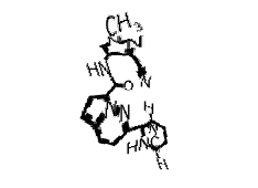 Cn1cc(NC(=O)c2ccc3ccc(N4C[C@@H]5CC[C@H]4CN5)nn23)c(C#N)n1